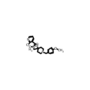 COc1ccc(CN2CCC(O)(CN(C)C(=O)c3cccnc3Cl)CC2)cc1